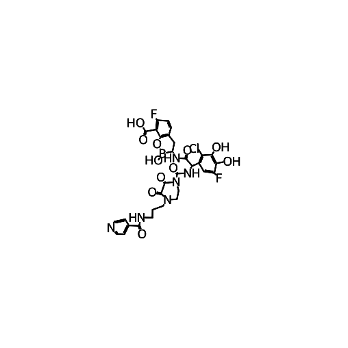 O=C(NCCCN1CCN(C(=O)N[C@@H](C(=O)N[C@H]2Cc3ccc(F)c(C(=O)O)c3OB2O)c2cc(F)c(O)c(O)c2Cl)C(=O)C1=O)c1ccncc1